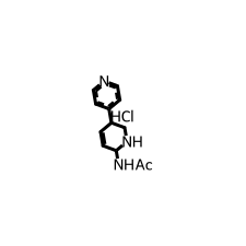 CC(=O)NC1C=CC(c2ccncc2)CN1.Cl